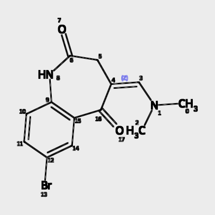 CN(C)/C=C1/CC(=O)Nc2ccc(Br)cc2C1=O